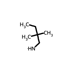 CCC(C)(C)C[NH]